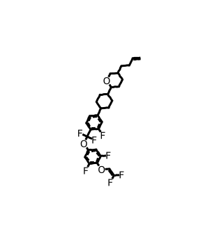 C=CCCC1CCC(C2CCC(c3ccc(C(F)(F)Oc4cc(F)c(OC=C(F)F)c(F)c4)c(F)c3)CC2)OC1